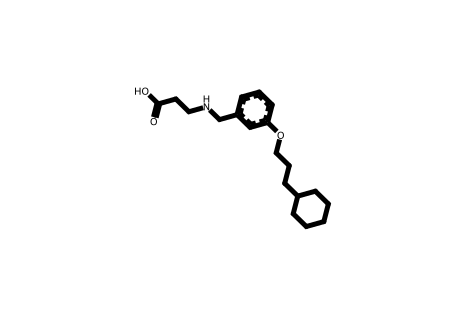 O=C(O)CCNCc1cccc(OCCCC2CCCCC2)c1